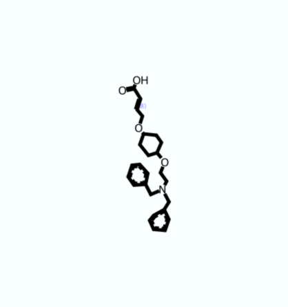 O=C(O)/C=C/COC1CCC(OCCN(Cc2ccccc2)Cc2ccccc2)CC1